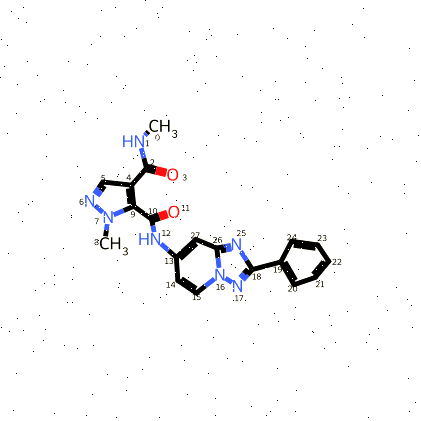 CNC(=O)c1cnn(C)c1C(=O)Nc1ccn2nc(-c3ccccc3)nc2c1